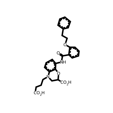 O=C(O)CCCN1CC(C(=O)O)Oc2c(NC(=O)c3ccccc3OCCc3ccccc3)cccc21